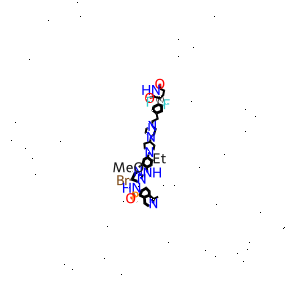 CCc1cc(Nc2ncc(Br)c(Nc3ccc4c(C)nccc4c3P(C)(C)=O)n2)c(OC)cc1N1CCC(N2CCN(CCc3cc(F)c([C@H]4CCC(=O)NC4=O)c(F)c3)CC2)CC1